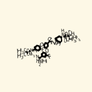 CC(C)(C)OC(=O)NCc1ccc(Oc2cc(Oc3c(F)cc(C(=N)N)cc3F)cc(C(=O)NC3CCC(NC(=O)OC(C)(C)C)CC3)c2)cc1